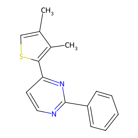 Cc1csc(-c2ccnc(-c3ccccc3)n2)c1C